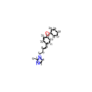 Cc1nccn1CCC=Cc1ccc(Oc2ccccc2)cc1